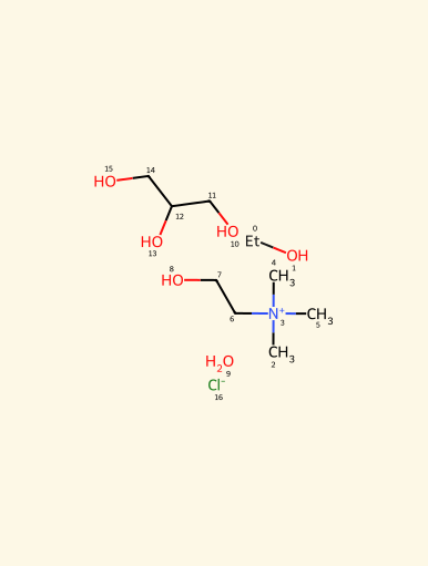 CCO.C[N+](C)(C)CCO.O.OCC(O)CO.[Cl-]